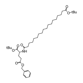 CC(C)(C)OC(=O)CCCCCCCCCCCCCCCCC(=O)NC(CCC(=O)OCc1ccccc1)C(=O)OC(C)(C)C